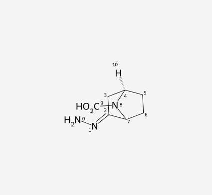 NN=C1C[C@H]2CCC1N2C(=O)O